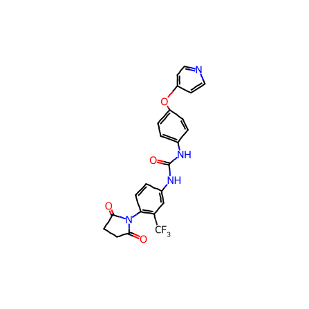 O=C(Nc1ccc(Oc2ccncc2)cc1)Nc1ccc(N2C(=O)CCC2=O)c(C(F)(F)F)c1